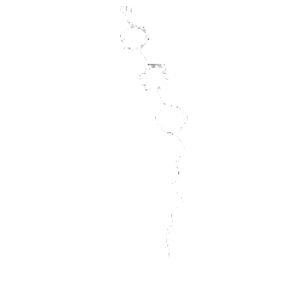 N#Cc1ccc(-c2ccc(C3CCC(CCCCCCC=CF)CC3)cc2)cc1